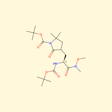 CON(C)C(=O)[C@H](CC1CC(C)(C)N(C(=O)OC(C)(C)C)C1=O)NC(=O)OC(C)(C)C